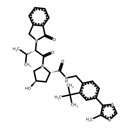 Cc1ncsc1-c1ccc(CNC(=O)[C@@H]2C[C@@H](O)CN2C(=O)[C@H](C(C)C)N2Cc3ccccc3C2=O)c(C(C)(C)C)c1